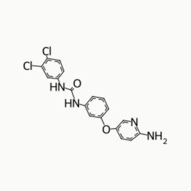 Nc1ccc(Oc2cccc(NC(=O)Nc3ccc(Cl)c(Cl)c3)c2)cn1